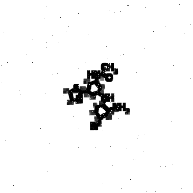 CC(=O)Nc1cc(Nc2ccc(Br)cc2N)cc(-c2nccs2)c1